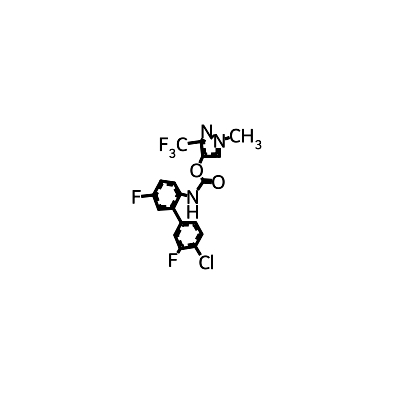 Cn1cc(OC(=O)Nc2ccc(F)cc2-c2ccc(Cl)c(F)c2)c(C(F)(F)F)n1